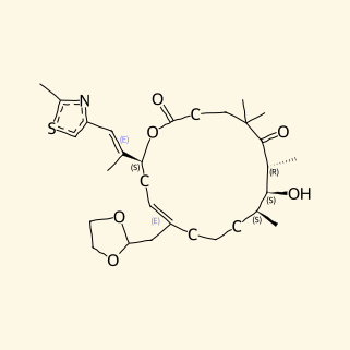 C/C(=C\c1csc(C)n1)[C@@H]1C/C=C(/CC2OCCO2)CCC[C@H](C)[C@H](O)[C@@H](C)C(=O)C(C)(C)CCC(=O)O1